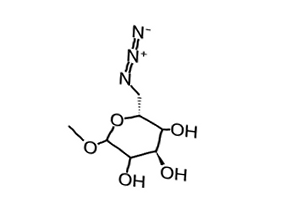 COC1O[C@H](CN=[N+]=[N-])C(O)[C@@H](O)C1O